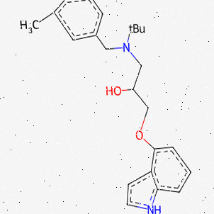 Cc1cccc(CN(CC(O)COc2cccc3[nH]ccc23)C(C)(C)C)c1